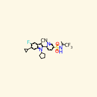 C[C@H](NS(=O)(=O)c1ccc(-c2c(C#N)c3cc(F)c(C4CC4)cc3n2C2CCCC2)nc1)C(F)(F)F